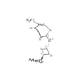 CO[C@H]1C[C@H](OC2CCN(C)CC2)C1